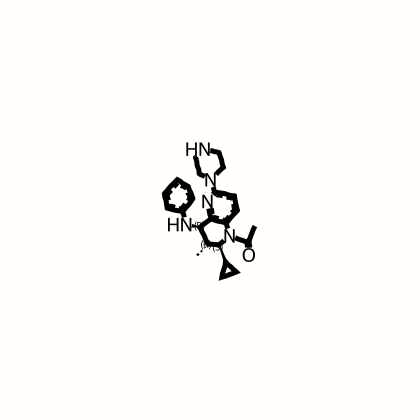 CC(=O)N1c2ccc(N3CCNCC3)nc2[C@H](Nc2ccccc2)[C@@H](C)[C@@H]1C1CC1